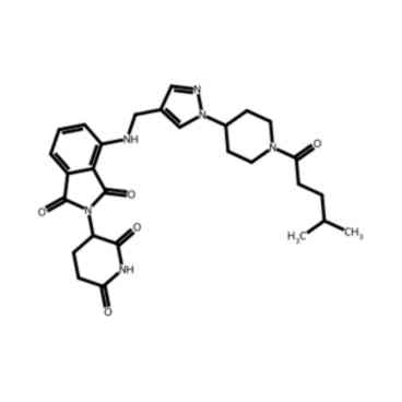 CC(C)CCC(=O)N1CCC(n2cc(CNc3cccc4c3C(=O)N(C3CCC(=O)NC3=O)C4=O)cn2)CC1